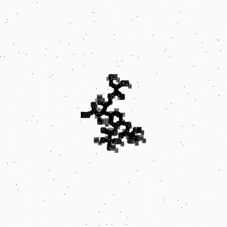 CCC(C)C(=O)OCC(C)C(c1ccc(OC(=O)C(C)(C)C)c(OC(=O)C(C)(C)C)c1)[C@H](N)C(=O)O